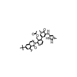 CC(=O)OCc1c(-c2cc(NC3=CN(C)NN3)c(=O)n(C)c2)ccnc1-n1ncc2cc(C(C)(C)C)cc(F)c2c1=O